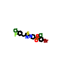 O=S(=O)(c1ccc(Br)cc1Cl)C1CCN(c2nc(Cc3ccc(Cl)c(F)c3)cs2)CC1